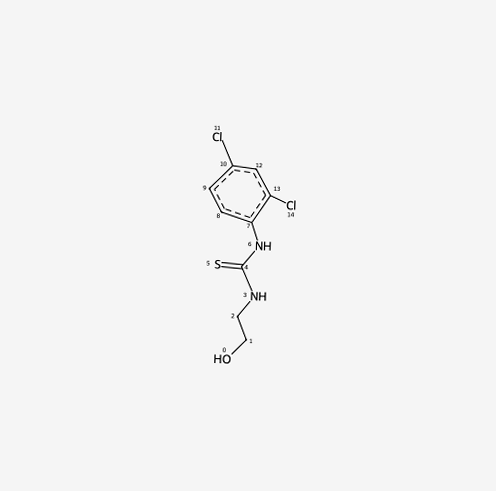 OCCNC(=S)Nc1ccc(Cl)cc1Cl